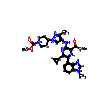 COC(=O)c1nc(-c2cccc3c2ncn3C)c(C2CC2)nc1Nc1cn(C2CCN(C(=O)OC(C)(C)C)CC2)nc1C